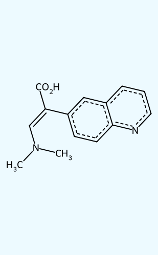 CN(C)/C=C(/C(=O)O)c1ccc2ncccc2c1